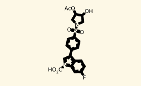 CC(=O)OC1CN(S(=O)(=O)c2ccc(-c3cn(C(=O)O)c4cc(F)ccc34)cc2)CC1O